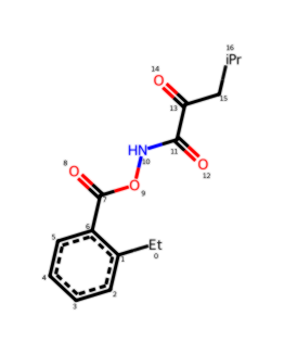 CCc1ccccc1C(=O)ONC(=O)C(=O)CC(C)C